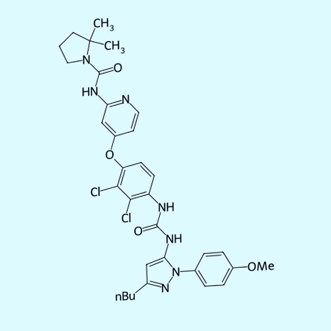 CCCCc1cc(NC(=O)Nc2ccc(Oc3ccnc(NC(=O)N4CCCC4(C)C)c3)c(Cl)c2Cl)n(-c2ccc(OC)cc2)n1